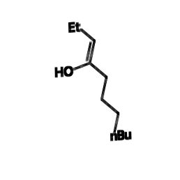 CC/C=C(\O)CCCCCCC